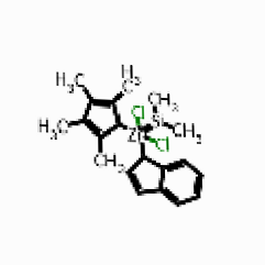 CC1=C(C)[CH]([Zr]([Cl])([Cl])([CH]2C=Cc3ccccc32)=[Si](C)C)C(C)=C1C